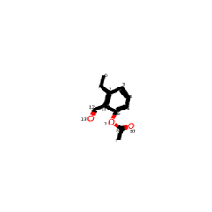 CCc1cccc(OC(C)=O)c1C=O